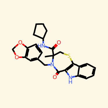 CC1(C(=O)NC2CCCC2)CSc2c([nH]c3ccccc23)C(=O)N1Cc1ccc2c(c1)OCO2